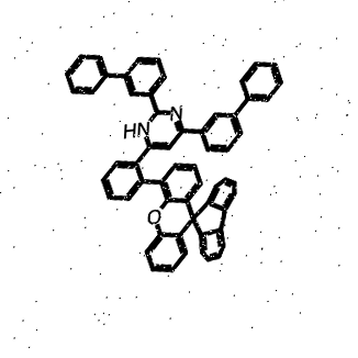 C1=C(c2ccccc2-c2cccc3c2Oc2ccccc2C32c3ccccc3-c3ccccc32)NC(c2cccc(-c3ccccc3)c2)N=C1c1cccc(-c2ccccc2)c1